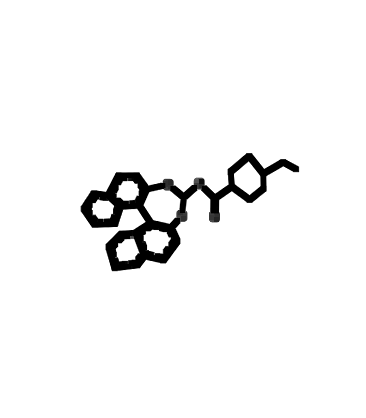 CCC1CCC(C(=O)OC2Oc3ccc4ccccc4c3-c3c(ccc4ccccc34)O2)CC1